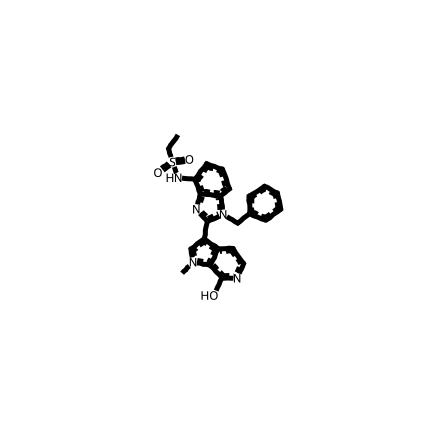 CCS(=O)(=O)Nc1cccc2c1nc(-c1cn(C)c3c(O)nccc13)n2Cc1ccccc1